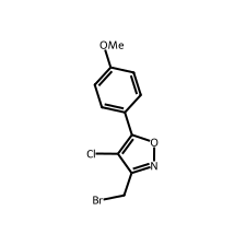 COc1ccc(-c2onc(CBr)c2Cl)cc1